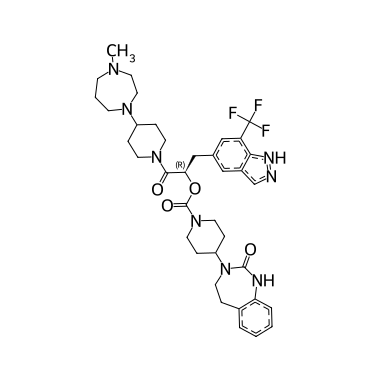 CN1CCCN(C2CCN(C(=O)[C@@H](Cc3cc(C(F)(F)F)c4[nH]ncc4c3)OC(=O)N3CCC(N4CCc5ccccc5NC4=O)CC3)CC2)CC1